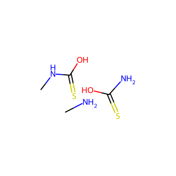 CN.CNC(O)=S.NC(O)=S